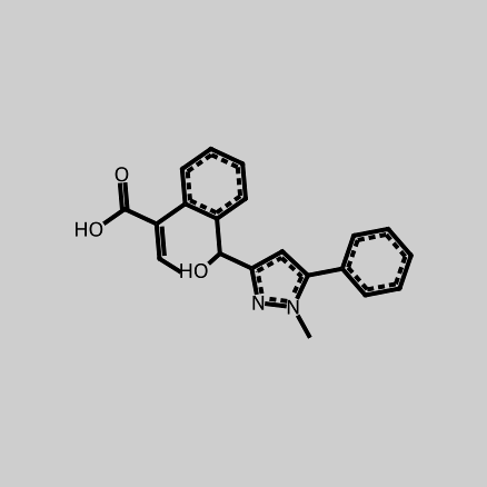 C/C=C(/C(=O)O)c1ccccc1C(O)c1cc(-c2ccccc2)n(C)n1